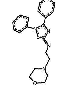 c1ccc(-c2nc(=NCCN3CCOCC3)sn2-c2ccccc2)cc1